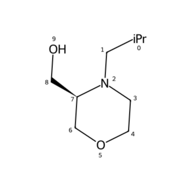 CC(C)CN1CCOC[C@H]1CO